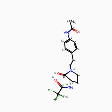 CC(=O)Nc1ccc(CCN2CC[C@H](NC(=O)C(F)(F)F)C2=O)cc1